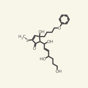 CSC1=CC(O)(CCCCOc2ccccc2)C(C(O)/C=C/C(O)CCCO)C1=O